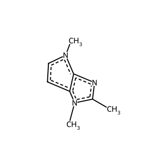 Cc1nc2c(ccn2C)n1C